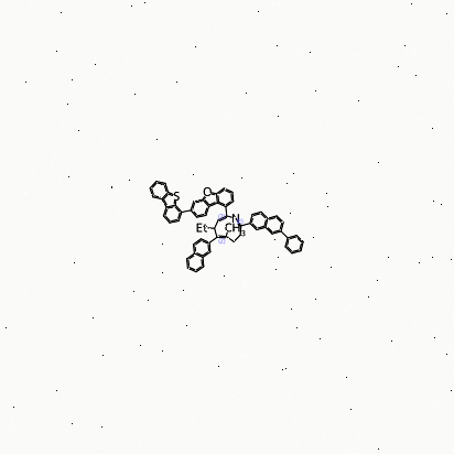 CCC1/C=C(c2cccc3oc4cc(-c5cccc6c5sc5ccccc56)ccc4c23)\N=C(\c2ccc3ccc(-c4ccccc4)cc3c2)CC/C(C)=C/1c1ccc2ccccc2c1